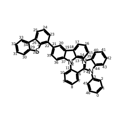 c1ccc(-n2c(-c3ccccc3-n3c4ccccc4c4cc(-c5cccc6c5sc5ccccc56)ccc43)nc3ccccc32)cc1